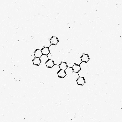 c1ccc(-c2cc(-c3cccc(-c4ccc(-c5nc(-c6cccnc6)cc(-c6cccnc6)n5)c5ccccc45)c3)c3c(ccc4ccccc43)n2)cc1